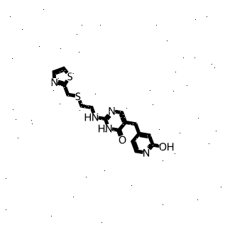 O=c1[nH]c(NCCSCc2nccs2)ncc1Cc1ccnc(O)c1